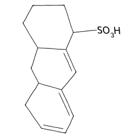 O=S(=O)(O)C1CCCC2CC3CC=CC=C3C=C21